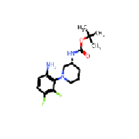 CC(C)(C)OC(=O)N[C@@H]1CCCN(c2c(N)ccc(F)c2F)C1